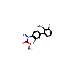 CCN(C(=O)OC(C)(C)C)c1ccc(-c2cccc(F)c2OC)cc1F